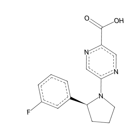 O=C(O)c1cnc(N2CCC[C@H]2c2cccc(F)c2)cn1